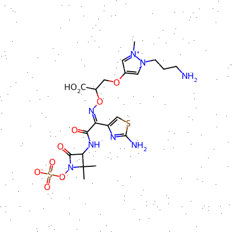 C[n+]1cc(OCC(ON=C(C(=O)NC2C(=O)N(OS(=O)(=O)[O-])C2(C)C)c2csc(N)n2)C(=O)O)cn1CCCN